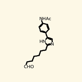 CC(=O)Nc1ccc(-c2cnc(CCCCCCC=O)[nH]2)cc1